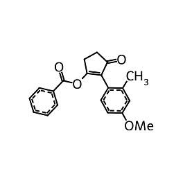 COc1ccc(C2=C(OC(=O)c3ccccc3)CCC2=O)c(C)c1